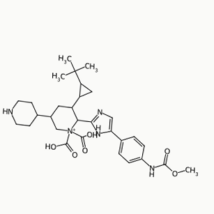 COC(=O)Nc1ccc(-c2cnc(C3C(C4CC4C(C)(C)C)CC(C4CCNCC4)C[N+]3(C(=O)O)C(=O)O)[nH]2)cc1